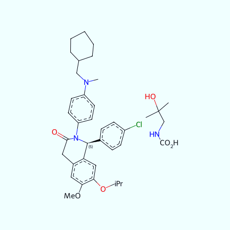 CC(C)(O)CNC(=O)O.COc1cc2c(cc1OC(C)C)[C@H](c1ccc(Cl)cc1)N(c1ccc(N(C)CC3CCCCC3)cc1)C(=O)C2